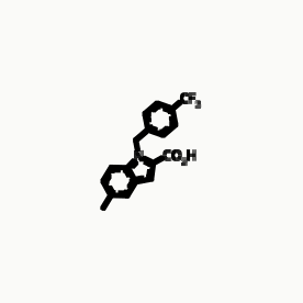 Cc1ccc2c(c1)cc(C(=O)O)n2Cc1ccc(C(F)(F)F)cc1